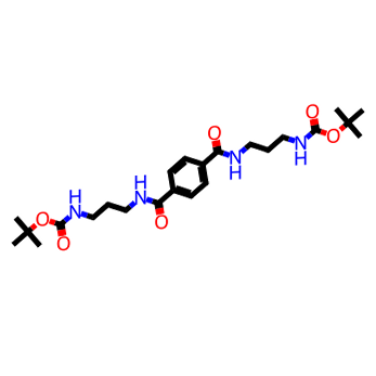 CC(C)(C)OC(=O)NCCCNC(=O)c1ccc(C(=O)NCCCNC(=O)OC(C)(C)C)cc1